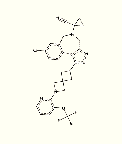 N#CC1(N2Cc3cc(Cl)ccc3-n3c(nnc3C3CC4(C3)CN(c3ncccc3OC(F)(F)F)C4)C2)CC1